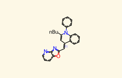 CCCCC1=C/C(=C\c2nc3ncccc3o2)c2ccccc2N1c1ccccc1